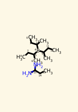 CCC(C)B(C(C)CC)C(C)CC.CCC(N)N